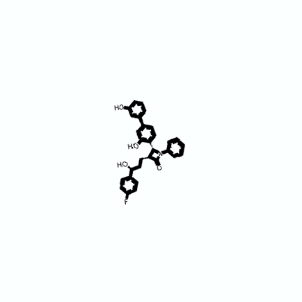 O=C1[C@@H](CC[C@H](O)c2ccc(F)cc2)[C@H](c2ccc(-c3cccc(O)c3)cc2O)N1c1ccccc1